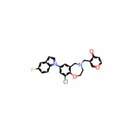 O=c1ccocc1CN1CCOc2c(Cl)cc(-n3ccc4cc(F)ccc43)cc2C1